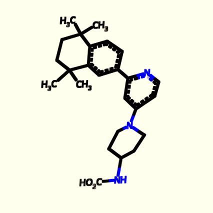 CC1(C)CCC(C)(C)c2cc(-c3cc(N4CCC(NC(=O)O)CC4)ccn3)ccc21